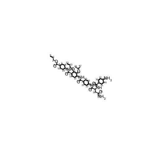 C=CCOC(=O)c1ccc(NC(=O)c2ccc(NC(=O)c3ccc(NC(=O)C(CC(N)=O)NC(=O)c4ccc(N)cc4)cc3)c(OC(C)C)c2OCC=C)cc1